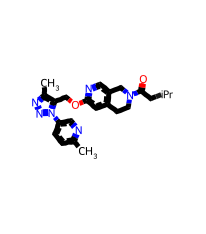 Cc1ccc(-n2nnc(C)c2COc2cc3c(cn2)CN(C(=O)CC(C)C)CC3)cn1